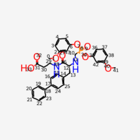 COc1cccc(OP(=O)(CN[C@@H](Cc2ccc(-c3ccccc3)cc2)C(=O)NCCC(=O)O)Oc2cccc(OC)c2)c1